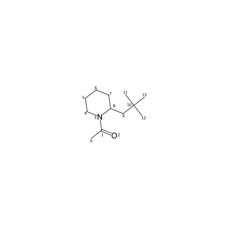 CC(=O)N1CCCCC1CC(C)(C)C